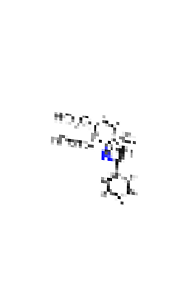 CCCCCC1=C(C(=O)O)C=CC(CC)(C(C)C)C1N=Cc1ccccc1